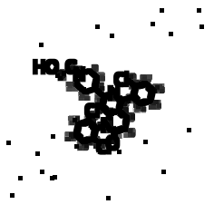 O=C(O)N1CC=C(c2cc3c(ccc(=O)n3-c3c(Cl)cccc3Cl)c(-c3ccccc3Cl)n2)CC1